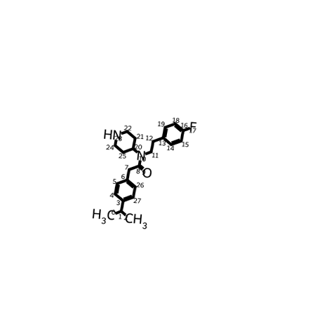 CC(C)c1ccc(CC(=O)N(CCc2ccc(F)cc2)C2CCNCC2)cc1